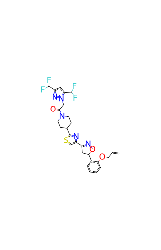 C=CCOc1ccccc1C1CC(c2csc(C3CCN(C(=O)Cn4nc(C(F)F)cc4C(F)F)CC3)n2)=NO1